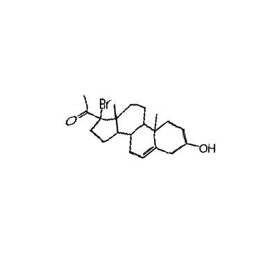 CC(=O)C1(Br)CCC2C3CC=C4CC(O)CCC4(C)C3CCC21C